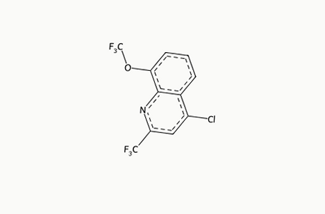 FC(F)(F)Oc1cccc2c(Cl)cc(C(F)(F)F)nc12